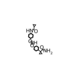 NC(=O)C1(c2ccc(OBOc3ccc(NC(=O)C4CC4)cc3)cc2)CC1